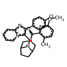 COc1ccc(C)c(C(=O)N2CC3CCC(C2)N3Cc2c(-c3ccc(Cl)cc3)nc3ccccn23)n1